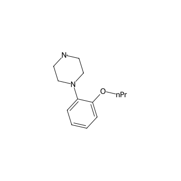 CCCOc1ccccc1N1CC[N]CC1